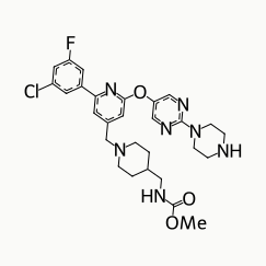 COC(=O)NCC1CCN(Cc2cc(Oc3cnc(N4CCNCC4)nc3)nc(-c3cc(F)cc(Cl)c3)c2)CC1